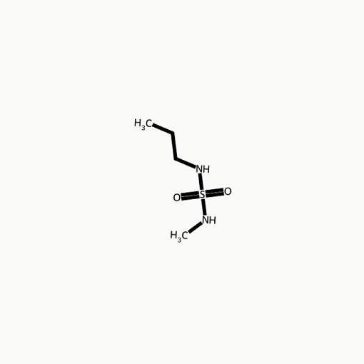 CCCNS(=O)(=O)NC